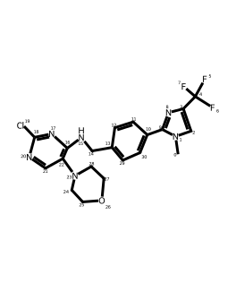 Cn1cc(C(F)(F)F)nc1-c1ccc(CNc2nc(Cl)ncc2N2CCOCC2)cc1